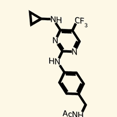 CC(=O)NCc1ccc(Nc2ncc(C(F)(F)F)c(NC3CC3)n2)cc1